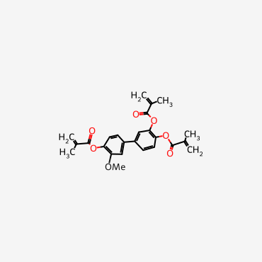 C=C(C)C(=O)Oc1ccc(-c2ccc(OC(=O)C(=C)C)c(OC(=O)C(=C)C)c2)cc1OC